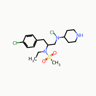 CCN(C(Cc1ccc(Cl)cc1)CN(Cl)C1CCNCC1)S(C)(=O)=O